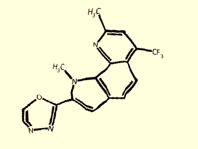 Cc1cc(C(F)(F)F)c2ccc3cc(-c4nnco4)n(C)c3c2n1